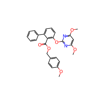 COc1ccc(COC(=O)c2c(Oc3nc(OC)cc(OC)n3)cccc2-c2ccccc2)cc1